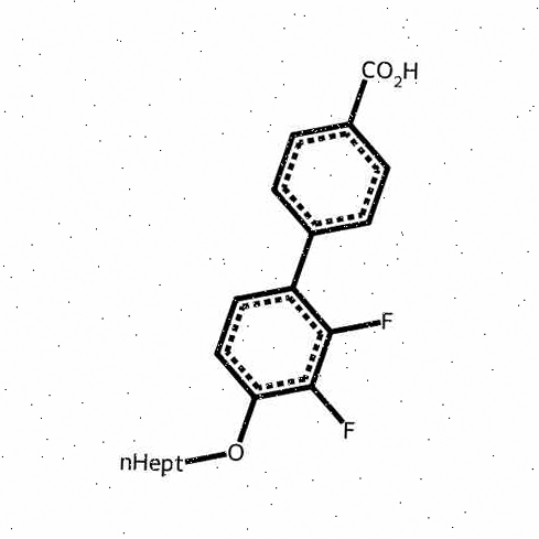 CCCCCCCOc1ccc(-c2ccc(C(=O)O)cc2)c(F)c1F